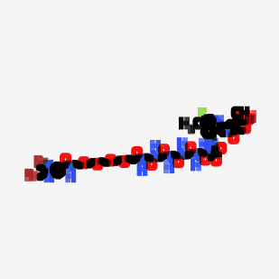 CC[C@]1(O)C(=O)OCc2c1cc1n(c2=O)Cc2c-1nc1cc(F)c(C)c3c1c2[C@H](CNC(=O)C1(NC(=O)CNC(=O)CNC(=O)CNC(=O)CNC(=O)CNC(=O)CCOCCOCCOCCOCCNC(=O)c2ccc4nc(CBr)c(CBr)nc4c2)COC1)CC3